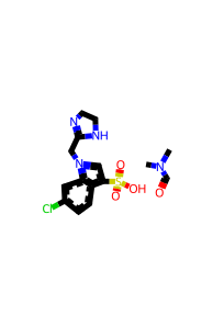 CN(C)C=O.O=S(=O)(O)c1cn(CC2=NCCN2)c2cc(Cl)ccc12